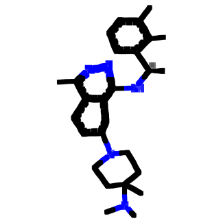 Cc1cccc([C@@H](C)Nc2nnc(C)c3ccc(N4CCC(C)(N(C)C)CC4)cc23)c1C